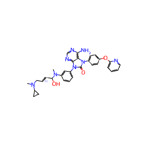 CN(C/C=C/C(O)N(C)c1cccc(-n2c(=O)n(-c3ccc(Oc4ccccn4)cc3)c3c(N)ncnc32)c1)C1CC1